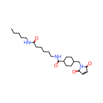 CCCCCNC(=O)CCCCCNC(=O)C1CCC(CN2C(=O)C=CC2=O)CC1